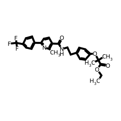 CCOC(=O)C(C)(C)Oc1ccc(CCNC(=O)c2ccc(-c3ccc(C(F)(F)F)cc3)nc2C)cc1